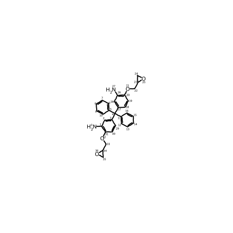 Nc1cc(C(c2ccccc2)(c2ccccc2)c2ccc(OCC3CO3)c(N)c2)ccc1OCC1CO1